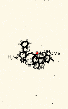 COc1c(C)cc2c(c1O)[C@@H]1[C@@H]3[C@@H]4SC[C@]5(N[C@@H](CN)Cc6c5oc5ccccc65)C(=O)OC[C@@H](c5c6c(c(C)c(OC(C)=O)c54)OCO6)N3C(O)(C2)CN1C